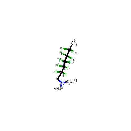 CCCCN(CC(F)(F)C(F)(F)C(F)(F)C(F)(F)C(F)(F)C(F)(F)F)C(=O)O